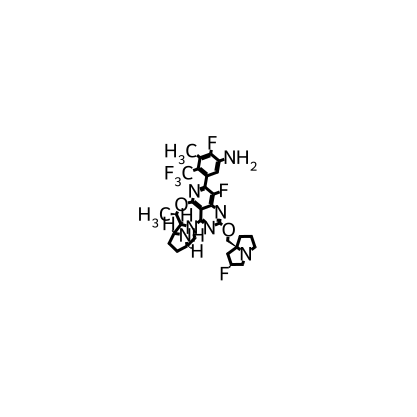 Cc1c(F)c(N)cc(-c2nc3c4c(nc(OC[C@@]56CCCN5C[C@H](F)C6)nc4c2F)N2C[C@H]4CC[C@H](N4)[C@@H]2[C@@H](C)O3)c1C(F)(F)F